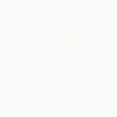 COc1ccc(COc2ccc(C(=O)O)cc2)cc1C12CC3CC(CC(C3)C1)C2